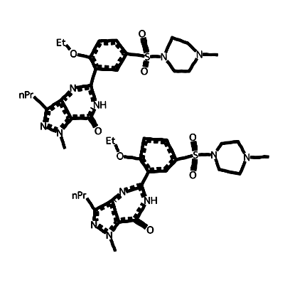 CCCc1nn(C)c2c(=O)[nH]c(-c3cc(S(=O)(=O)N4CCN(C)CC4)ccc3OCC)nc12.CCCc1nn(C)c2c(=O)[nH]c(-c3cc(S(=O)(=O)N4CCN(C)CC4)ccc3OCC)nc12